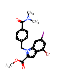 COC(=O)c1cc2c(Br)cc(I)cc2n1Cc1ccc(C(=O)N(C)C)cc1